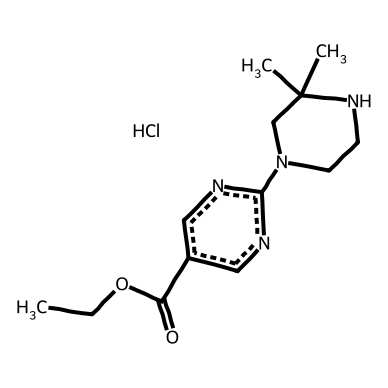 CCOC(=O)c1cnc(N2CCNC(C)(C)C2)nc1.Cl